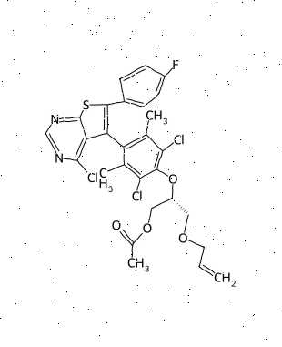 C=CCOC[C@H](COC(C)=O)Oc1c(Cl)c(C)c(-c2c(-c3ccc(F)cc3)sc3ncnc(Cl)c23)c(C)c1Cl